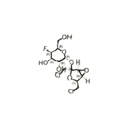 OC[C@H]1O[C@H](O[C@]2(CCl)O[C@H](CCl)[C@@H]3O[C@@H]32)[C@H](O)[C@@H](O)[C@H]1F